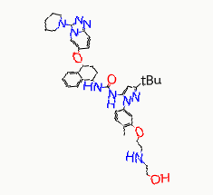 Cc1ccc(-n2nc(C(C)(C)C)cc2NC(=O)N[C@H]2CC[C@@H](Oc3ccc4nnc(N5CCCCC5)n4c3)c3ccccc32)cc1OCCNCCO